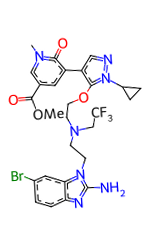 COC(=O)c1cc(-c2cnn(C3CC3)c2OCCN(CCn2c(N)nc3ccc(Br)cc32)CC(F)(F)F)c(=O)n(C)c1